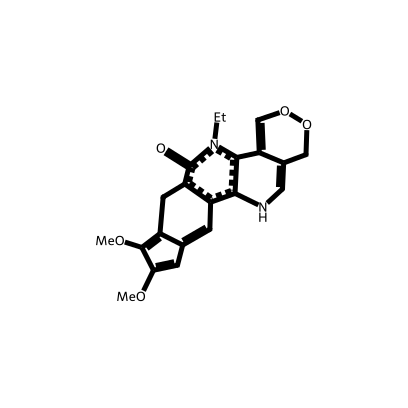 CCn1c2c(c3c(c1=O)CC1=C(OC)C(OC)=CC1=C3)NC=C1COOC=C12